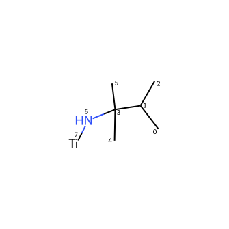 CC(C)C(C)(C)[NH][Ti]